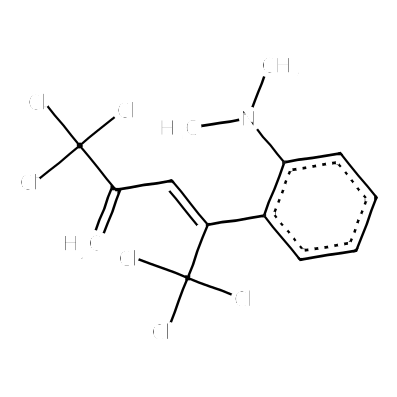 C=C(C=C(c1ccccc1N(C)C)C(Cl)(Cl)Cl)C(Cl)(Cl)Cl